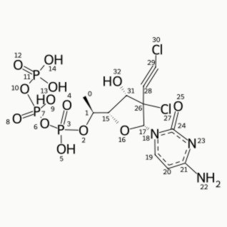 C[C@H](OP(=O)(O)OP(=O)(O)OP(=O)(O)O)[C@H]1O[C@@H](n2ccc(N)nc2=O)C(Cl)(C#CCl)[C@H]1O